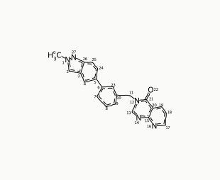 Cn1cc2cc(-c3cccc(Cn4cnc5ncccc5c4=O)c3)ccc2n1